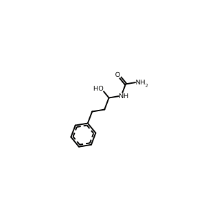 NC(=O)NC(O)CCc1ccccc1